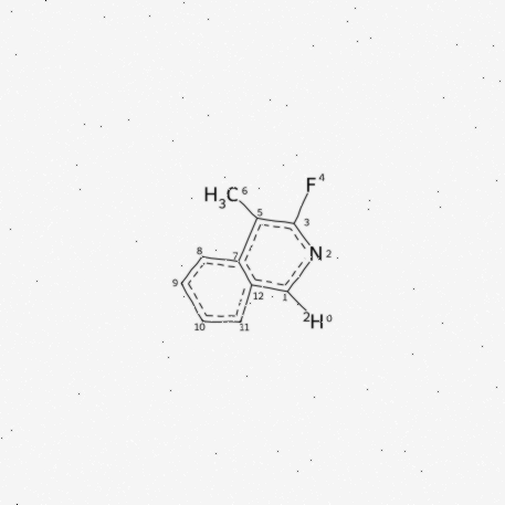 [2H]c1nc(F)c(C)c2ccccc12